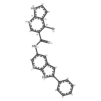 O=C(Nc1cnc2[nH]c(-c3ccccc3)cc2c1)c1cnc2[nH]ccc2c1Br